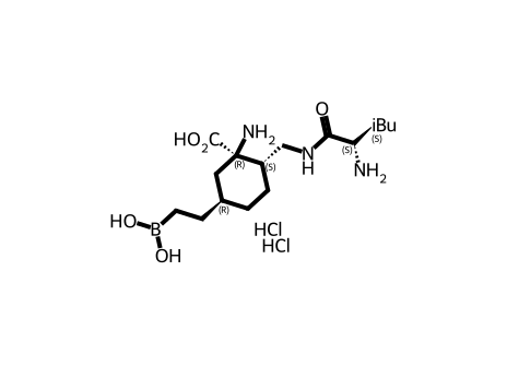 CC[C@H](C)[C@H](N)C(=O)NC[C@@H]1CC[C@@H](CCB(O)O)C[C@]1(N)C(=O)O.Cl.Cl